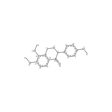 COc1ccc(C2OCc3c(ccc(OC)c3OC)C2=O)cc1